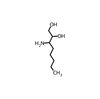 CCCCCC(N)C(O)CO